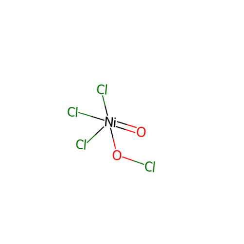 [O]=[Ni]([Cl])([Cl])([Cl])[O]Cl